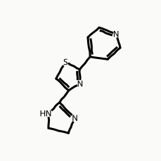 c1cc(-c2nc(C3=NCCN3)cs2)ccn1